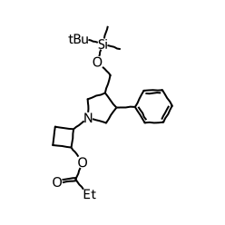 CCC(=O)OC1CCC1N1CC(CO[Si](C)(C)C(C)(C)C)C(c2ccccc2)C1